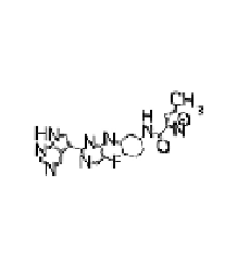 Cc1cc(C(=O)N[C@@H]2CCC/C(=N\c3nc(-c4c[nH]c5ncncc45)ncc3F)C2)no1